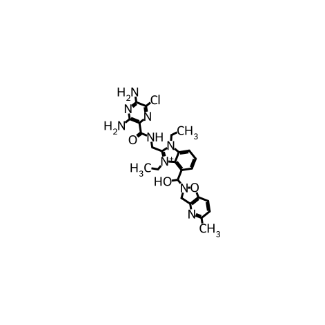 CCn1c(CNC(=O)c2nc(Cl)c(N)nc2N)[n+](CC)c2c(C(O)N3Cc4nc(C)ccc4O3)cccc21